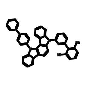 N#Cc1cccc(C#N)c1-c1cccc(-n2c3ccccc3c3c2ccc2c4ccccc4n(-c4ccc(-c5ccccc5)cc4)c23)c1